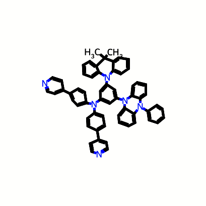 CC1(C)c2ccccc2N(c2cc(N(c3ccc(-c4ccncc4)cc3)c3ccc(-c4ccncc4)cc3)cc(N3c4ccccc4N(c4ccccc4)c4ccccc43)c2)c2ccccc21